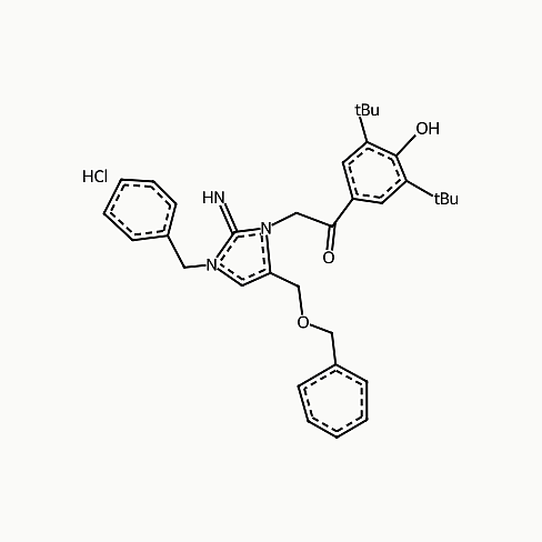 CC(C)(C)c1cc(C(=O)Cn2c(COCc3ccccc3)cn(Cc3ccccc3)c2=N)cc(C(C)(C)C)c1O.Cl